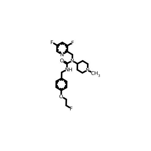 CN1CCC(N(Cc2ncc(F)cc2F)C(=O)NCc2ccc(OCCF)cc2)CC1